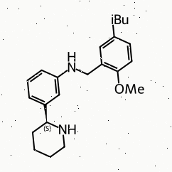 CCC(C)c1ccc(OC)c(CNc2cccc([C@@H]3CCCCN3)c2)c1